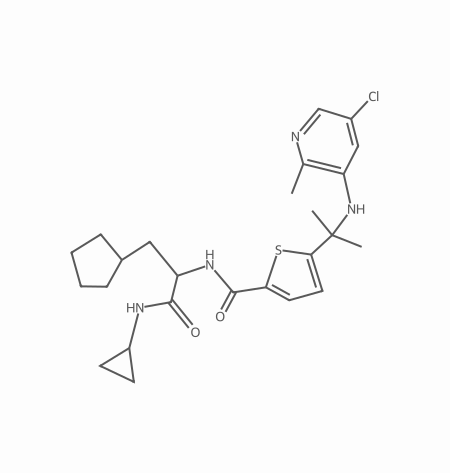 Cc1ncc(Cl)cc1NC(C)(C)c1ccc(C(=O)NC(CC2CCCC2)C(=O)NC2CC2)s1